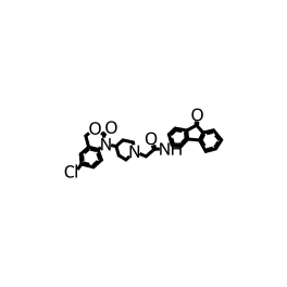 O=C(CN1CCC(N2C(=O)OCc3cc(Cl)ccc32)CC1)Nc1ccc2c(c1)-c1ccccc1C2=O